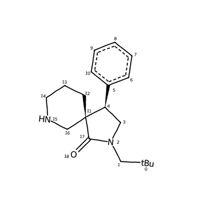 CC(C)(C)CN1C[C@H](c2ccccc2)[C@]2(CCCNC2)C1=O